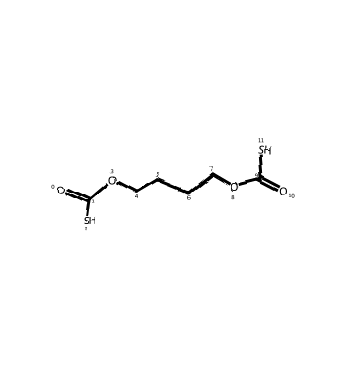 O=C(S)OCCCCOC(=O)S